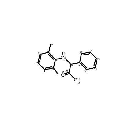 Cc1cccc(C)c1NC(C(=O)O)c1ccccc1